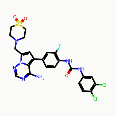 Nc1ncnn2c(CN3CCS(=O)(=O)CC3)cc(-c3ccc(NC(=O)Nc4ccc(Cl)c(Cl)c4)c(F)c3)c12